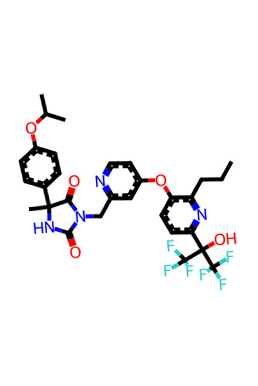 CCCc1nc(C(O)(C(F)(F)F)C(F)(F)F)ccc1Oc1ccnc(CN2C(=O)NC(C)(c3ccc(OC(C)C)cc3)C2=O)c1